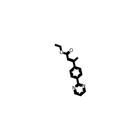 CCOC(=O)C=C(C)c1ccc(-c2ncccn2)cc1